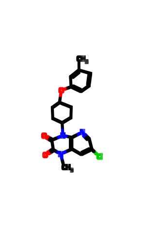 Cc1cccc(OC2CCC(n3c(=O)c(=O)n(C)c4cc(Cl)cnc43)CC2)c1